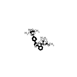 COC(=O)NN(C(=O)[C@H]1CCCCC1c1ncc(-c2ccc(B3OC(C)(C)C(C)(C)O3)cc2)[nH]1)C(C)C